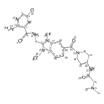 CCn1c(CNC(=O)c2nc(Cl)cnc2N)[n+](CC)c2ccc(C(=O)N3CCC(NC(=O)CN(C)C)CC3)cc21